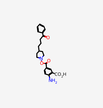 Nc1ccc(C(=O)ON2CCC(CCCC(=O)c3ccccc3)CC2)cc1C(=O)O